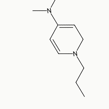 CCCN1C=CC(N(C)C)=CC1